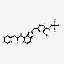 Cc1cc(Cn2cc3c(NC(=O)Cc4ccccn4)nccc3n2)cnc1OCC(F)(F)F